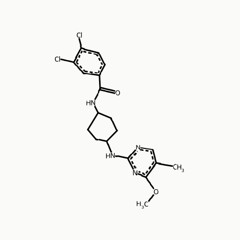 COc1nc(NC2CCC(NC(=O)c3ccc(Cl)c(Cl)c3)CC2)ncc1C